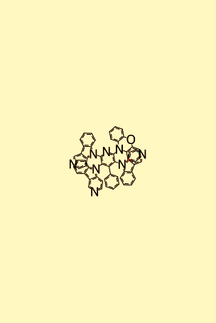 c1ccc(-c2c(-n3c4ccccc4c4cnccc43)c(N3c4ccccc4Oc4ccccc43)nc(-n3c4ccccc4c4cnccc43)c2-n2c3ccccc3c3cnccc32)cc1